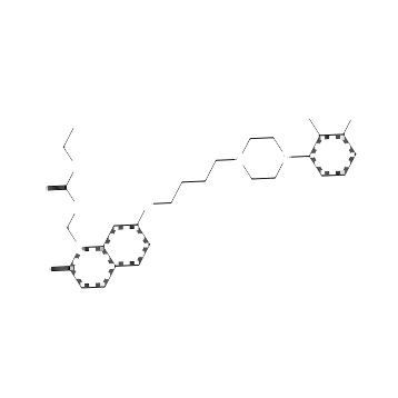 CCOC(=O)OCn1c(=O)ccc2ccc(OCCCCN3CCN(c4cccc(Cl)c4Cl)CC3)cc21